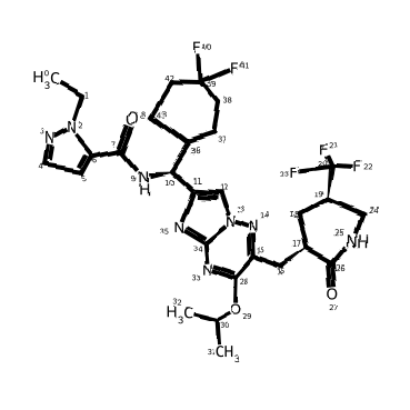 CCn1nccc1C(=O)N[C@H](c1cn2nc(C[C@H]3C[C@@H](C(F)(F)F)CNC3=O)c(OC(C)C)nc2n1)C1CCC(F)(F)CC1